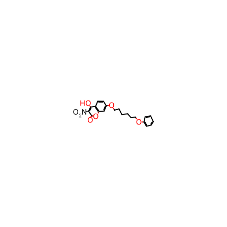 O=c1oc2cc(OCCCCCCOc3ccccc3)ccc2c(O)c1[N+](=O)[O-]